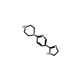 c1cc(N2CCNCC2)ncc1C1=NCCN1